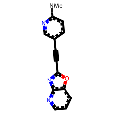 CNc1ccc(C#Cc2nc3ncccc3o2)cn1